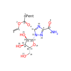 C=COC(=O)CCCCC.NC(=O)c1ncn([C@@H]2O[C@H](CO)[C@@H](O)[C@H]2O)n1